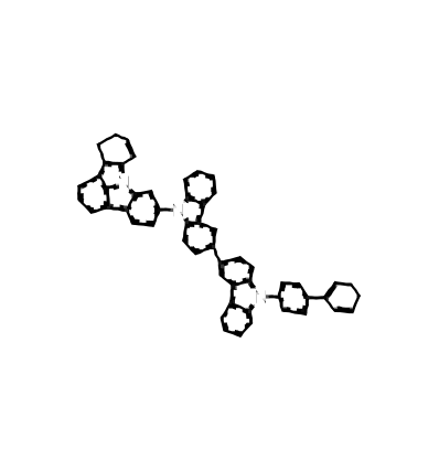 C1=CC(c2ccc(-n3c4ccccc4c4cc(-c5ccc6c(c5)c5ccccc5n6-c5ccc6c7cccc8c9c(n(c6c5)c87)C=CCC9)ccc43)cc2)=CCC1